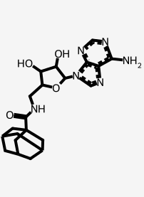 Nc1ncnc2c1ncn2C1OC(CNC(=O)C23CC4CC(CC(C4)C2)C3)C(O)C1O